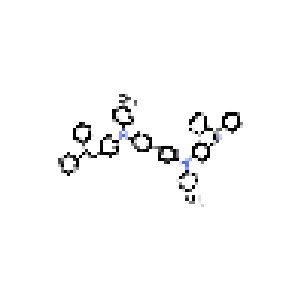 CC1=CC=C(N(c2ccc(/C=C(\C3=CC=CCC3)c3ccccc3)cc2)c2ccc(-c3ccc(N(c4ccc(C)cc4)c4ccc(C=C(c5ccccc5)c5ccccc5)cc4)cc3)cc2)CC1